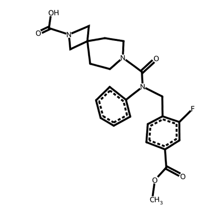 COC(=O)c1ccc(CN(C(=O)N2CCC3(CC2)CN(C(=O)O)C3)c2ccccc2)c(F)c1